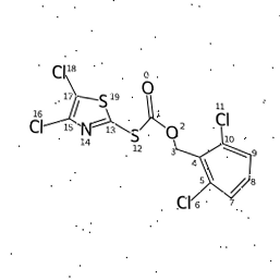 O=C(OCc1c(Cl)cccc1Cl)Sc1nc(Cl)c(Cl)s1